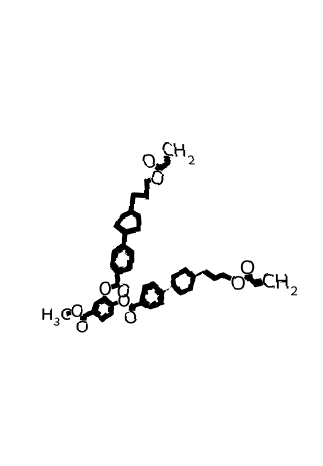 C=CC(=O)OCCCC1CCC(c2ccc(C(=O)Oc3cc(C(=O)OC)ccc3OC(=O)c3ccc([C@H]4CC[C@H](CCCOC(=O)C=C)CC4)cc3)cc2)CC1